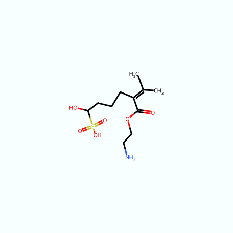 CC(C)=C(CCCC(O)S(=O)(=O)O)C(=O)OCCN